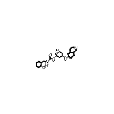 O=C(NCc1ccccc1Cl)O[C@@H]1C[C@H](Oc2ccc3cnccc3c2)CCN1